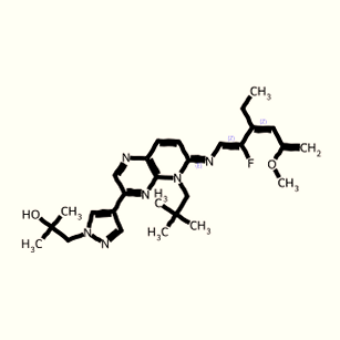 C=C(\C=C(CC)/C(F)=C/N=c1\ccc2ncc(-c3cnn(CC(C)(C)O)c3)nc2n1CC(C)(C)C)OC